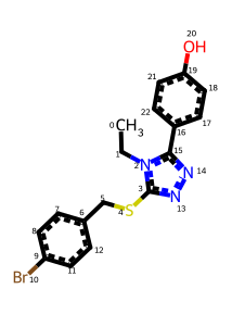 CCn1c(SCc2ccc(Br)cc2)nnc1-c1ccc(O)cc1